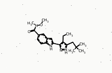 CCc1c(-c2cc3cc(C(=O)N(C)OC)ccc3[nH]2)n[nH]c1CC(C)(C)C